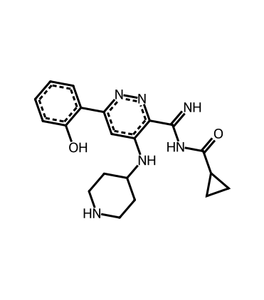 N=C(NC(=O)C1CC1)c1nnc(-c2ccccc2O)cc1NC1CCNCC1